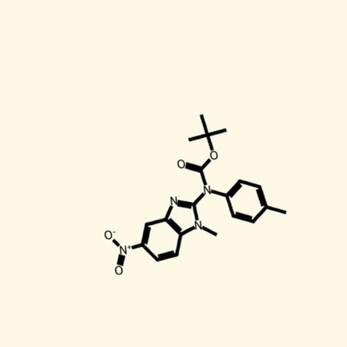 Cc1ccc(N(C(=O)OC(C)(C)C)c2nc3cc([N+](=O)[O-])ccc3n2C)cc1